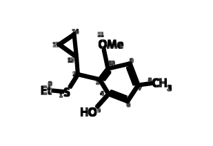 CCSC(c1c(O)cc(C)cc1OC)C1CC1